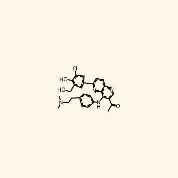 CC(=O)c1cnc2ccc(-c3cc(Cl)c(O)c(CO)c3)nc2c1Nc1ccc(CCN(C)C)cc1